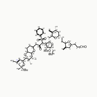 C=C1C[C@H](CCC=O)OC1CC[C@H]1C[C@@H](C)C(=C)C(C[C@@H]2O[C@H](C[C@H](C)CC)[C@H](OC)[C@H]2C(C(=O)CC2CCC3O[C@@H]([C@H](/C=C/I)O[Si](C)(C)C(C)(C)C)[C@@H](C)[C@@H](C)C3O2)S(=O)(=O)c2ccccc2)O1